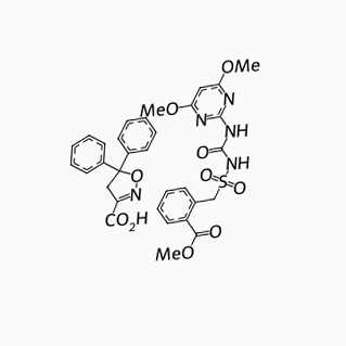 COC(=O)c1ccccc1CS(=O)(=O)NC(=O)Nc1nc(OC)cc(OC)n1.O=C(O)C1=NOC(c2ccccc2)(c2ccccc2)C1